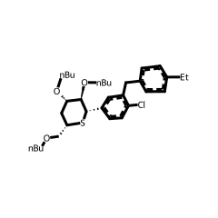 CCCCOC[C@@H]1C[C@H](OCCCC)[C@@H](OCCCC)[C@H](c2ccc(Cl)c(Cc3ccc(CC)cc3)c2)S1